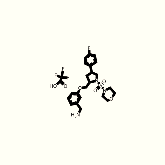 NCc1cccc(OCC2CC(c3ccc(F)cc3)CN2S(=O)(=O)N2CCOCC2)c1.O=C(O)C(F)(F)F